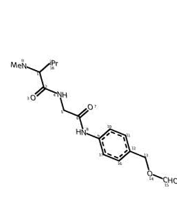 CNC(C(=O)NCC(=O)Nc1ccc(COC=O)cc1)C(C)C